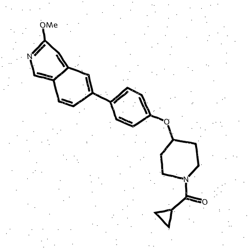 COc1cc2cc(-c3ccc(OC4CCN(C(=O)C5CC5)CC4)cc3)ccc2cn1